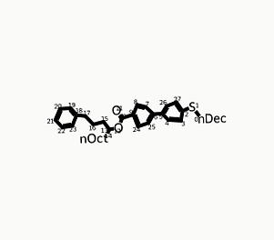 CCCCCCCCCCSc1ccc(-c2ccc(C(=O)OC(CCCCCCCC)CCCc3ccccc3)cc2)cc1